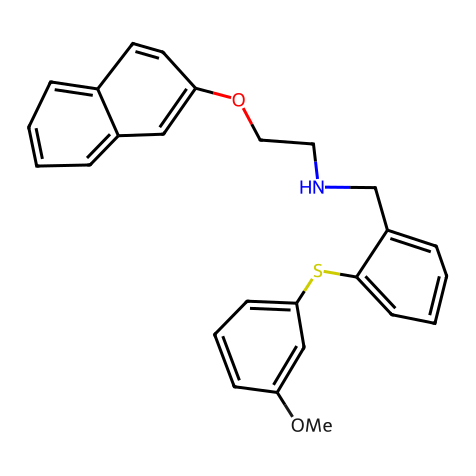 COc1cccc(Sc2ccccc2CNCCOc2ccc3ccccc3c2)c1